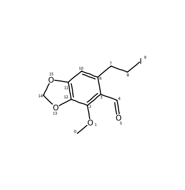 COc1c(C=O)c(CCI)cc2c1OCO2